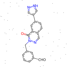 O=Cc1cccc(Cn2ncc3ccc(-c4cn[nH]c4)cc3c2=O)c1